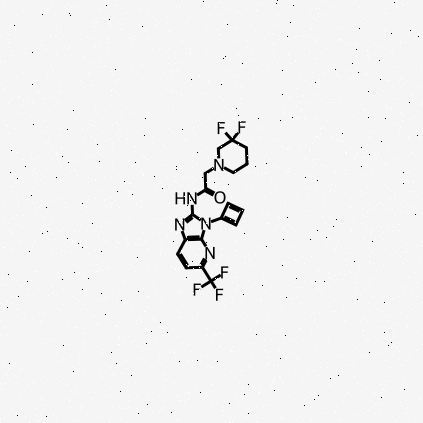 O=C(CN1CCCC(F)(F)C1)Nc1nc2ccc(C(F)(F)F)nc2n1C1=CC=C1